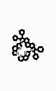 c1ccc(-c2c(-c3ccccc3)n(-c3cnc4c(ccc5cccnc54)c3)c3c2ccc2c4ccc5c(-c6ccccc6)c(-c6ccccc6)n(-c6cnc7c(ccc8cccnc87)c6)c5c4ccc23)cc1